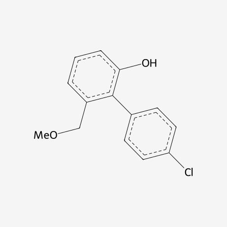 COCc1cccc(O)c1-c1ccc(Cl)cc1